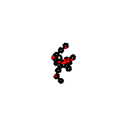 c1ccc(-c2ccc(-c3cccc4c3CCc3c(-c5ccc(-c6ccccc6)cc5)cccc3C43c4ccccc4-c4ccc(N(c5ccc(-c6cccc(-c7ccccc7)c6)cc5)c5ccc6c(c5)-c5ccccc5C65C6CC7CC8CC5C78C6)cc43)cc2)cc1